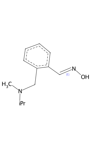 CC(C)N(C)Cc1ccccc1/C=N/O